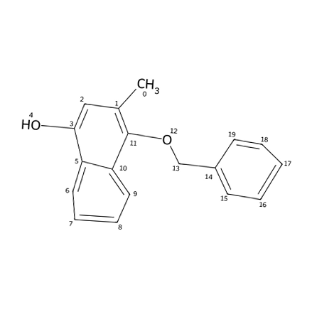 Cc1cc(O)c2ccccc2c1OCc1ccccc1